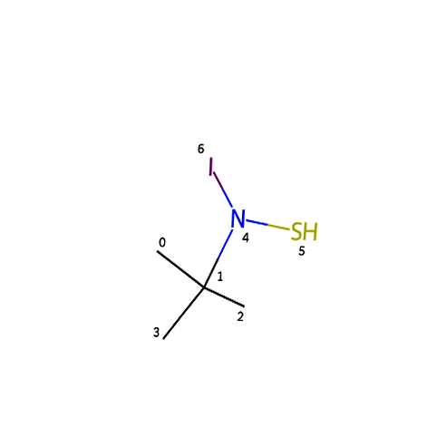 CC(C)(C)N(S)I